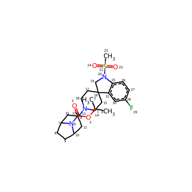 CC(C)OC(=O)N1C2CCC1CC(N1CCC3(CC1)CN(S(C)(=O)=O)c1ccc(F)cc13)C2